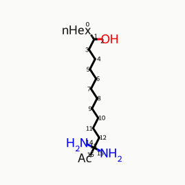 CCCCCCC(O)CCCCCCCCCCC(N)(N)C(C)=O